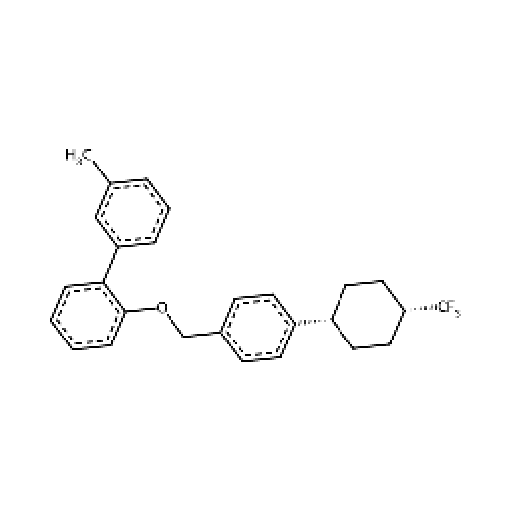 Cc1cccc(-c2ccccc2OCc2ccc([C@H]3CC[C@@H](C(F)(F)F)CC3)cc2)c1